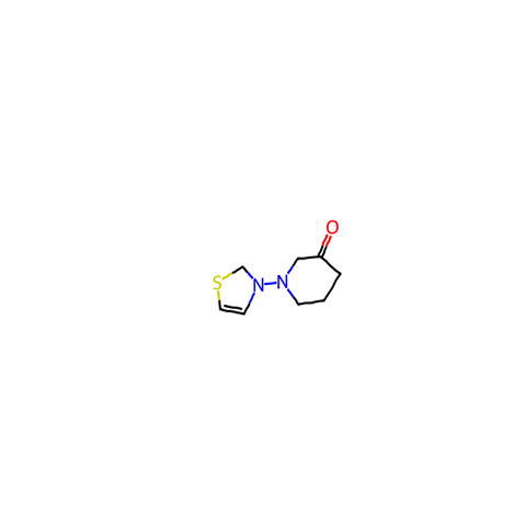 O=C1CCCN(N2C=CSC2)C1